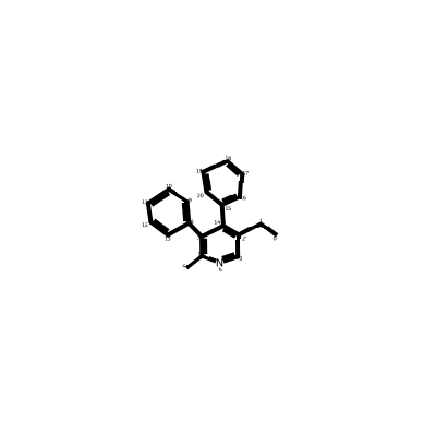 CCc1[c]nc(C)c(-c2ccccc2)c1-c1ccccc1